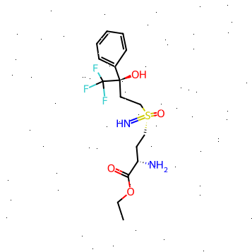 CCOC(=O)[C@@H](N)CC[S@@](=N)(=O)CC[C@@](O)(c1ccccc1)C(F)(F)F